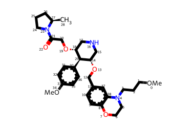 COCCCN1CCOc2ccc(CO[C@H]3CNC[C@@H](OCC(=O)N4CCC[C@H]4C)[C@@H]3c3ccc(OC)cc3)cc21